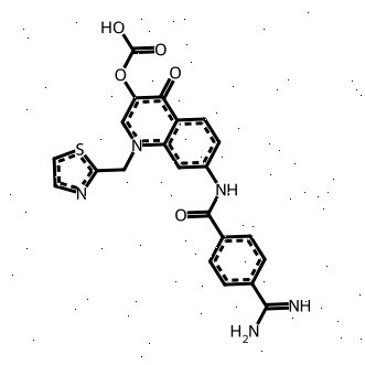 N=C(N)c1ccc(C(=O)Nc2ccc3c(=O)c(OC(=O)O)cn(Cc4nccs4)c3c2)cc1